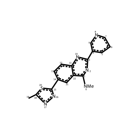 CNc1nc(-c2cccnc2)nc2ccc(-c3nnc(C)s3)cc12